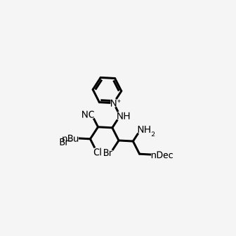 CCCCCCCCCCCC(N)C(Br)C(N[n+]1ccccc1)C(C#N)C(Cl)CCCC.[Br-]